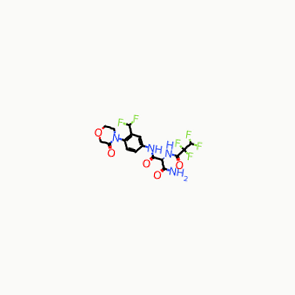 NC(=O)[C@@H](NC(=O)C(F)(F)C(F)F)C(=O)Nc1ccc(N2CCOCC2=O)c(C(F)F)c1